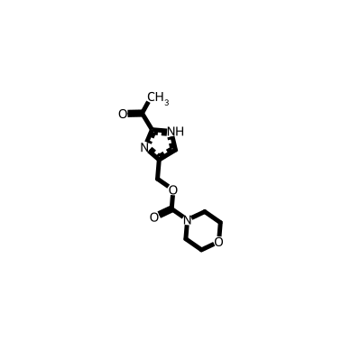 CC(=O)c1nc(COC(=O)N2CCOCC2)c[nH]1